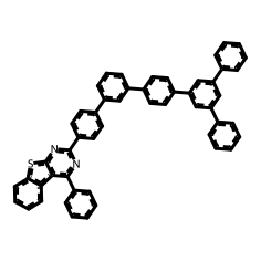 c1ccc(-c2cc(-c3ccccc3)cc(-c3ccc(-c4cccc(-c5ccc(-c6nc(-c7ccccc7)c7c(n6)sc6ccccc67)cc5)c4)cc3)c2)cc1